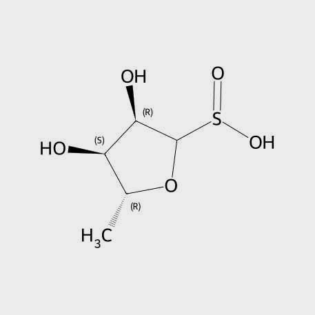 C[C@H]1OC(S(=O)O)[C@H](O)[C@@H]1O